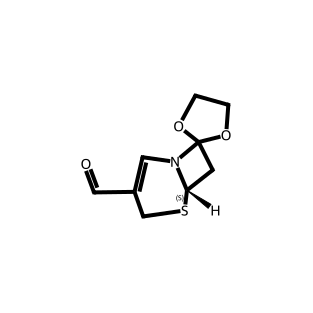 O=CC1=CN2[C@H](CC23OCCO3)SC1